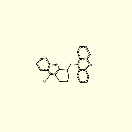 Cc1c2c(nc3ccccc13)C(Cc1c3ccccc3nc3ccccc13)CCC2